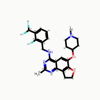 CC(=O)N1CCC(Oc2cc3c(NCc4cccc(C(F)F)c4F)nc(C)nc3c3c2OCC3)CC1